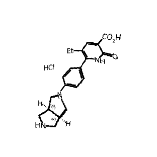 CCc1cc(C(=O)O)c(=O)[nH]c1-c1ccc(N2C[C@H]3CNC[C@H]3C2)cc1.Cl